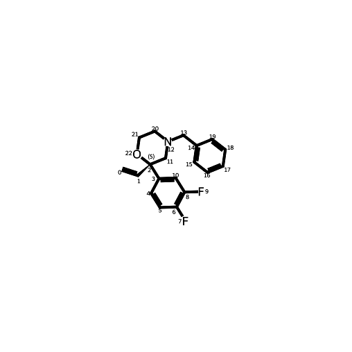 C=C[C@]1(c2ccc(F)c(F)c2)CN(Cc2ccccc2)CCO1